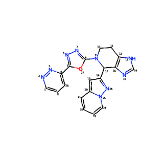 c1cnnc(-c2nnc(N3CCc4[nH]cnc4C3c3cc4ccccn4n3)o2)c1